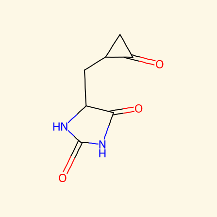 O=C1NC(=O)C(CC2CC2=O)N1